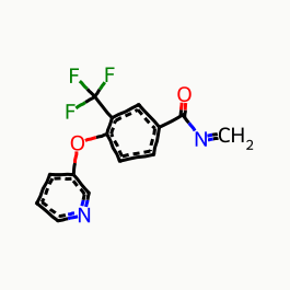 C=NC(=O)c1ccc(Oc2cccnc2)c(C(F)(F)F)c1